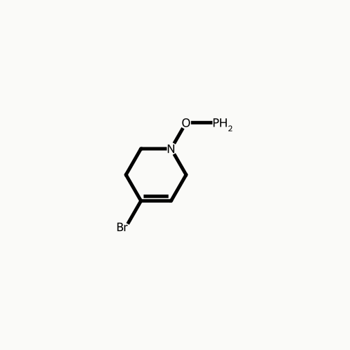 PON1CC=C(Br)CC1